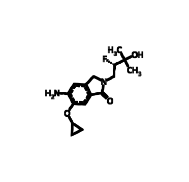 CC(C)(O)[C@@H](F)CN1Cc2cc(N)c(OC3CC3)cc2C1=O